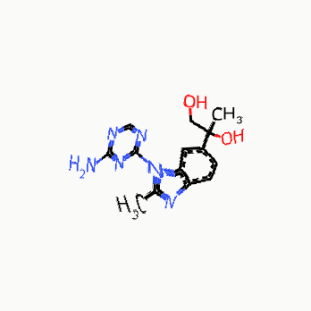 Cc1nc2ccc(C(C)(O)CO)cc2n1-c1ncnc(N)n1